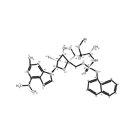 Cc1nc(N(C)C)c2ncn([C@@H]3O[C@](CCl)(CO[P@](=O)(N[C@@H](C)C(=O)OC(C)C)Oc4cccc5ccccc45)[C@@H](O)[C@H]3F)c2n1